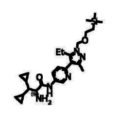 CCc1c(-c2ccc(NC(=O)[C@@H](N)C(C3CC3)C3CC3)cn2)c(C)nn1COCC[Si](C)(C)C